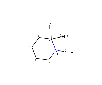 [2H]N1CCCCC1([2H])[2H]